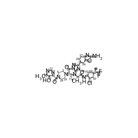 CCc1c(N2CCN(C(=O)c3ncnc(C)c3O)CC2)c(=O)n2nc(-c3ccc4nc(N)oc4c3)nc2n1CC(=O)Nc1ccc(C(F)(F)F)cc1Cl